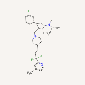 CC(C)[C@H](C(=O)O)N(C)C1CC(CN2CCC(CCC(F)(F)c3cc(C(F)(F)F)ccn3)CC2)C(c2cccc(F)c2)C1